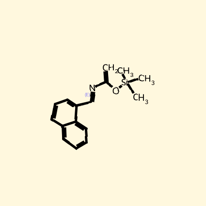 C=C(/N=C/c1cccc2ccccc12)O[Si](C)(C)C